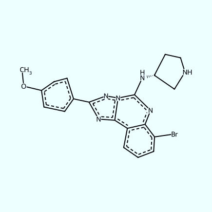 COc1ccc(-c2nc3c4cccc(Br)c4nc(N[C@@H]4CCNC4)n3n2)cc1